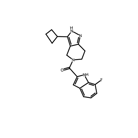 O=C(c1cc2cccc(F)c2[nH]1)N1CCc2n[nH]c(C3CCC3)c2C1